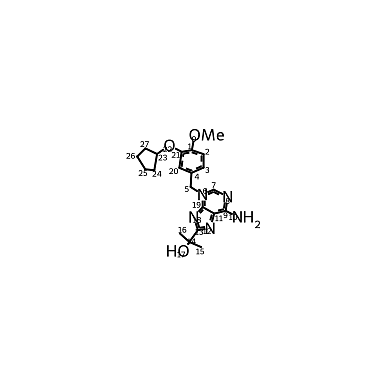 COc1ccc(Cn2cnc(N)c3nc(C(C)(C)O)nc2-3)cc1OC1CCCC1